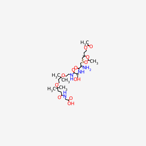 CC(=O)OCC[C@H](CSC[C@H](N)C(=O)N[C@@H](CO)C(=O)NCCOC(C)(C)CCOC(C)(C)CCC(=O)NCC(=O)O)OC(C)=O